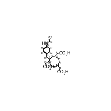 O=C(O)CN1CCN(CC(=O)O)CC(Cc2ccc(NC=S)cc2)N(CC(=O)O)CC1